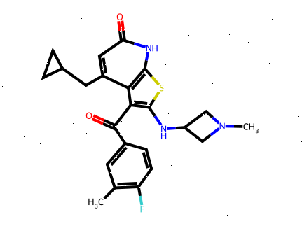 Cc1cc(C(=O)c2c(NC3CN(C)C3)sc3[nH]c(=O)cc(CC4CC4)c23)ccc1F